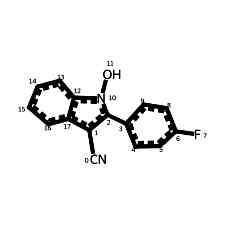 N#Cc1c(-c2ccc(F)cc2)n(O)c2ccccc12